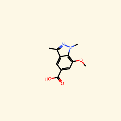 COc1cc(C(=O)O)cc2c(C)nn(C)c12